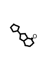 O=C1CCCC2CC(C3CCCC3)CC12